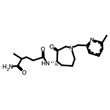 Cc1cccc(CN2CCC[C@H](NC(=O)[CH]CC(C)C(N)=O)C(=O)C2)n1